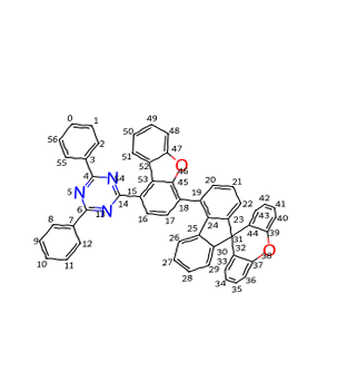 c1ccc(-c2nc(-c3ccccc3)nc(-c3ccc(-c4cccc5c4-c4ccccc4C54c5ccccc5Oc5ccccc54)c4oc5ccccc5c34)n2)cc1